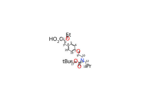 CCOC(Cc1ccc(OCCN(CC(C)C)C(=O)OCC(C)(C)C)cc1)C(=O)O